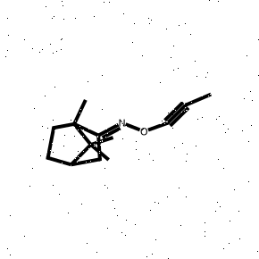 CC#CON=C1CC2CCC1(C)C2(C)C